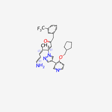 CC(=C/C=C/N)/C(=C\C(=O)Cc1cccc(C(F)(F)F)c1)n1cc(-c2cnccc2OCC2CCCC2)cn1